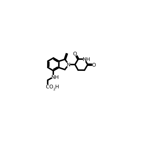 C=C1c2cccc(NCC(=O)O)c2CN1C1CCC(=O)NC1=O